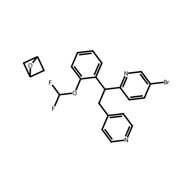 C1C2CC1O2.FC(F)Oc1ccccc1C(Cc1ccncc1)c1ccc(Br)cn1